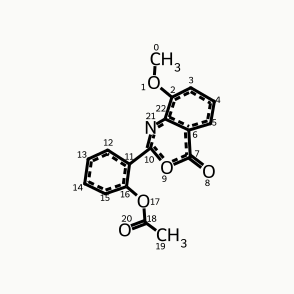 COc1cccc2c(=O)oc(-c3ccccc3OC(C)=O)nc12